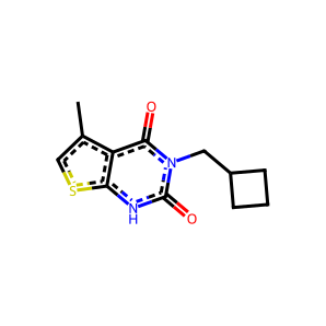 Cc1csc2[nH]c(=O)n(CC3CCC3)c(=O)c12